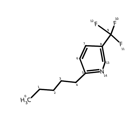 CCCCCc1ccc(C(F)(F)F)cn1